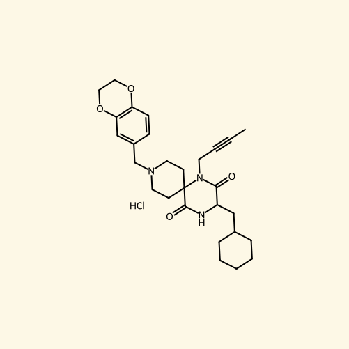 CC#CCN1C(=O)C(CC2CCCCC2)NC(=O)C12CCN(Cc1ccc3c(c1)OCCO3)CC2.Cl